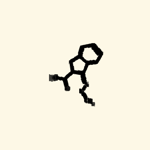 C=NN=C1c2ccccc2CC1C(=O)O